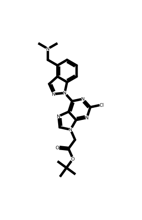 CN(C)Cc1cccc2c1cnn2-c1nc(Cl)nc2c1ncn2CC(=O)OC(C)(C)C